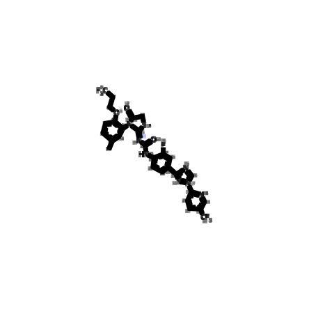 Cc1ccc(OCCC(F)(F)F)c(N2C(=O)CS/C2=N\C(=O)Nc2ccc(-c3ncn(-c4ccc(C(F)(F)F)cn4)n3)cc2F)c1